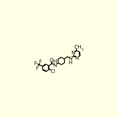 Cc1ccnc(NCC2CCC(NC(=O)c3cc(C(F)(F)F)ccc3Cl)CC2)n1